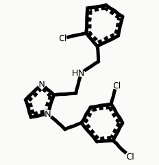 Clc1cc(Cl)cc(Cn2ccnc2CNCc2ccccc2Cl)c1